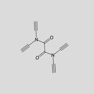 C#CN(C#C)C(=O)C(=O)N(C#C)C#C